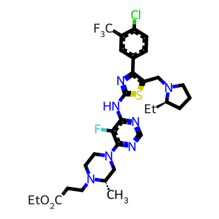 CCOC(=O)CCN1CCN(c2ncnc(Nc3nc(-c4ccc(Cl)c(C(F)(F)F)c4)c(CN4CCC[C@H]4CC)s3)c2F)C[C@@H]1C